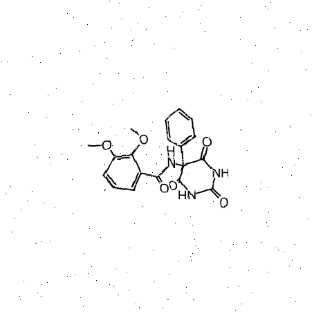 COc1cccc(C(=O)NC2(c3ccccc3)C(=O)NC(=O)NC2=O)c1OC